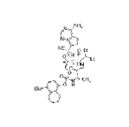 CCC(CC)COC(=O)[C@H](C)NP(=O)(OC[C@H]1O[C@@](C#N)(c2ccc3c(N)ncnn23)[C@H](O)[C@@H]1O)Oc1ccc(C(C)(C)C)c2ccccc12